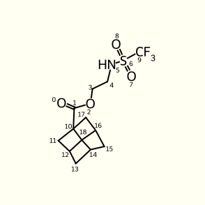 O=C(OCCNS(=O)(=O)C(F)(F)F)C12CC3CC4CC(C1)C432